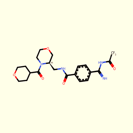 N=C(NC(=O)C(F)(F)F)c1ccc(C(=O)NC[C@@H]2COCCN2C(=O)C2CCOCC2)cc1